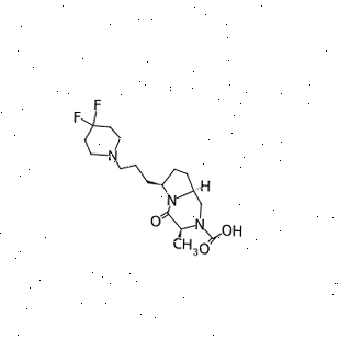 C[C@H]1C(=O)N2[C@@H](CCCN3CCC(F)(F)CC3)CC[C@H]2CN1C(=O)O